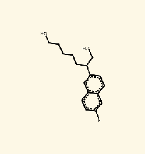 CCC(CCCCCO)c1ccc2cc(F)ccc2c1